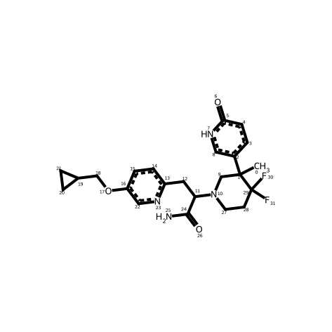 CC1(c2ccc(=O)[nH]c2)CN(C(Cc2ccc(OCC3CC3)cn2)C(N)=O)CCC1(F)F